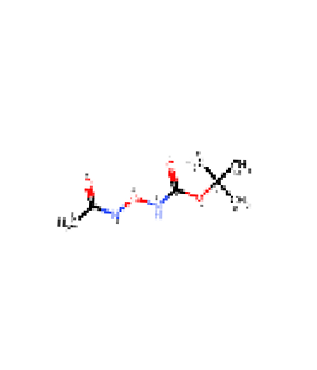 CC(=O)[N]ONC(=O)OC(C)(C)C